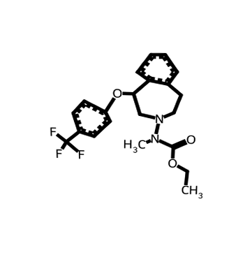 CCOC(=O)N(C)N1CCc2ccccc2C(Oc2ccc(C(F)(F)F)cc2)C1